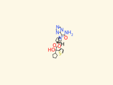 NC(=O)C(c1ncncn1)[N+]12CCC(CC1)[C@@H](OC(=O)C(O)(c1cccs1)C1CCCC1)C2